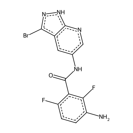 Nc1ccc(F)c(C(=O)Nc2cnc3[nH]nc(Br)c3c2)c1F